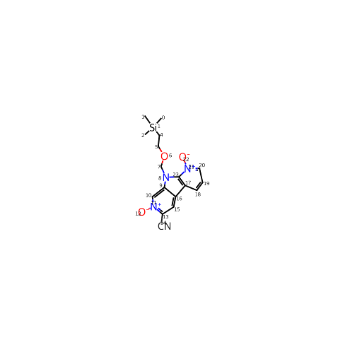 C[Si](C)(C)CCOCn1c2c[n+]([O-])c(C#N)cc2c2ccc[n+]([O-])c21